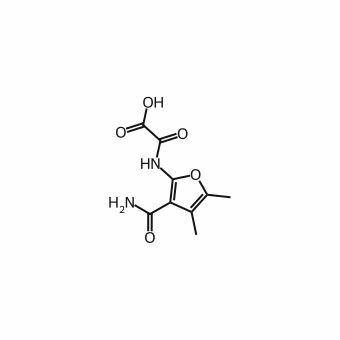 Cc1oc(NC(=O)C(=O)O)c(C(N)=O)c1C